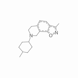 Cc1noc2c3c(ccc12)CCN(C1CCC(C)CC1)C3